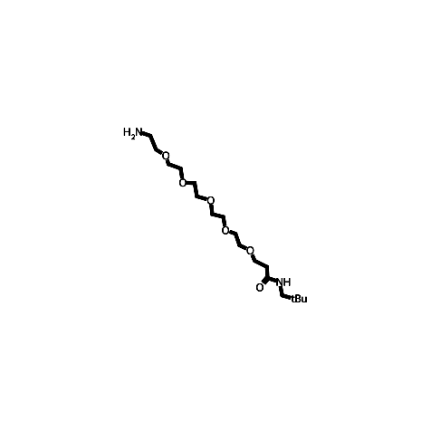 CC(C)(C)CNC(=O)CCOCCOCCOCCOCCOCCN